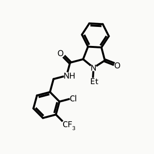 CCN1C(=O)c2ccccc2C1C(=O)NCc1cccc(C(F)(F)F)c1Cl